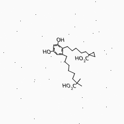 CC(C)(CCCCCCc1cc(O)cc(O)c1CCCCCC1(C(=O)O)CC1)C(=O)O